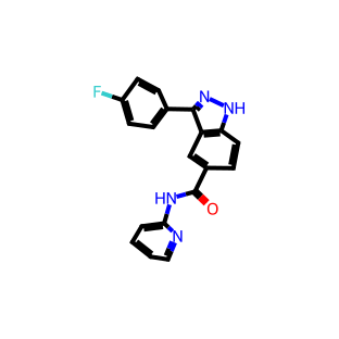 O=C(Nc1ccccn1)c1ccc2[nH]nc(-c3ccc(F)cc3)c2c1